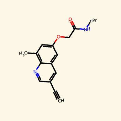 C#Cc1cnc2c(C)cc(OCC(=O)NCCC)cc2c1